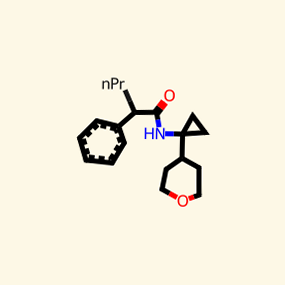 CCCC(C(=O)NC1(C2CCOCC2)CC1)c1ccccc1